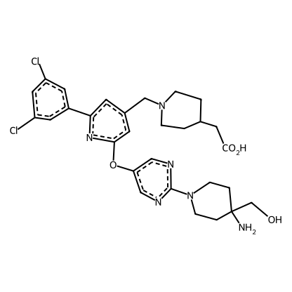 NC1(CO)CCN(c2ncc(Oc3cc(CN4CCC(CC(=O)O)CC4)cc(-c4cc(Cl)cc(Cl)c4)n3)cn2)CC1